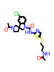 CC(=O)NCCCSc1cnc(NC(=O)N2CC3(CCN(C(C)=O)C3)c3cc(Cl)ccc32)s1